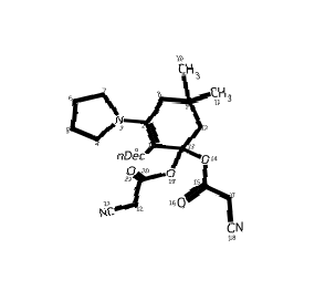 CCCCCCCCCCC1=C(N2CCCC2)CC(C)(C)CC1(OC(=O)CC#N)OC(=O)CC#N